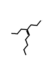 [CH2]CCC(=CCCCC)CCC